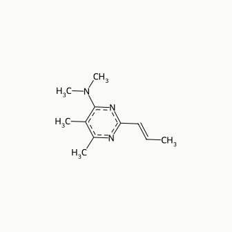 C/C=C/c1nc(C)c(C)c(N(C)C)n1